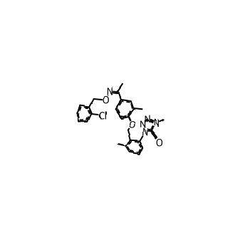 CC(=NOCc1ccccc1Cl)c1ccc(OCc2c(C)cccc2-n2nnn(C)c2=O)c(C)c1